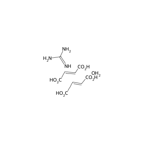 N=C(N)N.O.O=C(O)/C=C/C(=O)O.O=C(O)/C=C/C(=O)O